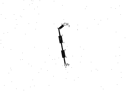 C=CC#CC#CCCC